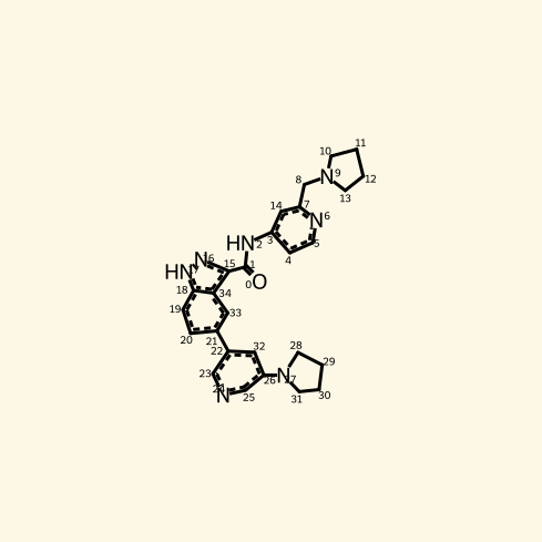 O=C(Nc1ccnc(CN2CCCC2)c1)c1n[nH]c2ccc(-c3cncc(N4CCCC4)c3)cc12